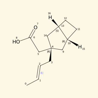 C/C=C/C[C@]1(CC(=O)O)C[C@H]2CC[C@H]2C1